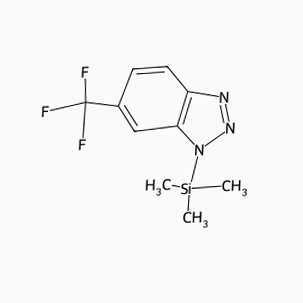 C[Si](C)(C)n1nnc2ccc(C(F)(F)F)cc21